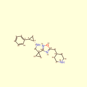 c1ccc(C2C[C@@H]2NCC2(c3noc(CC4CCNCC4)n3)CC2)cc1